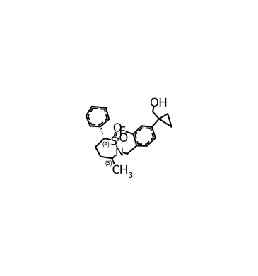 C[C@H]1CC[C@H](c2ccccc2)S(=O)(=O)N1Cc1ccc(C2(CO)CC2)cc1F